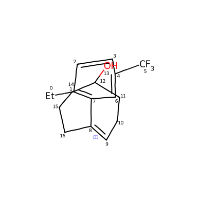 CCc1ccc(C(F)(F)F)cc1/C1=C\CCC(O)CCC1